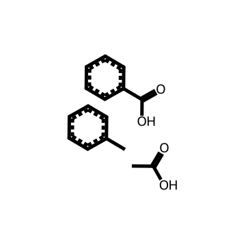 CC(=O)O.Cc1ccccc1.O=C(O)c1ccccc1